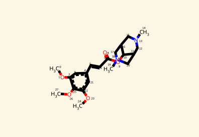 COc1cc(C=CC(=O)OC2C3CN(C)CC2CN(C)C3)cc(OC)c1OC